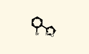 Brc1ccccc1-c1c[c]on1